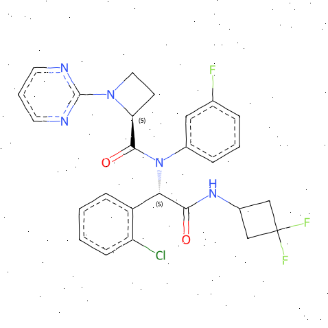 O=C(NC1CC(F)(F)C1)[C@H](c1ccccc1Cl)N(C(=O)[C@@H]1CCN1c1ncccn1)c1cccc(F)c1